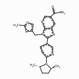 Cc1nc(Cn2c(-c3ccc(N4[C@@H](C)CC[C@@H]4C)nc3)nc3cc(C(N)=O)cnc32)co1